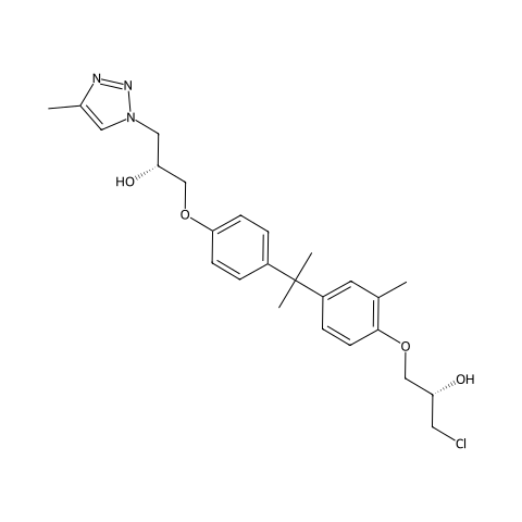 Cc1cn(C[C@@H](O)COc2ccc(C(C)(C)c3ccc(OC[C@H](O)CCl)c(C)c3)cc2)nn1